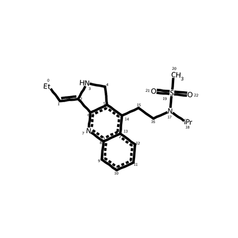 CC/C=C1\NCc2c1nc1ccccc1c2CCN(C(C)C)S(C)(=O)=O